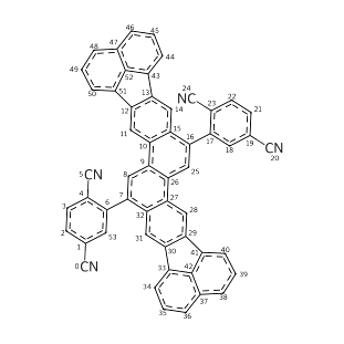 N#Cc1ccc(C#N)c(-c2cc3c4cc5c(cc4c(-c4cc(C#N)ccc4C#N)cc3c3cc4c(cc23)-c2cccc3cccc-4c23)-c2cccc3cccc-5c23)c1